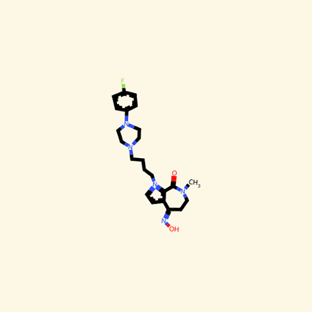 CN1CCC(=NO)c2ccn(CCCCN3CCN(c4ccc(F)cc4)CC3)c2C1=O